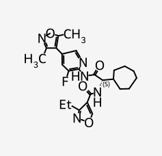 CCc1nocc1C(=O)N[C@H](C(=O)Nc1ncc(-c2c(C)noc2C)cc1F)C1CCCCCC1